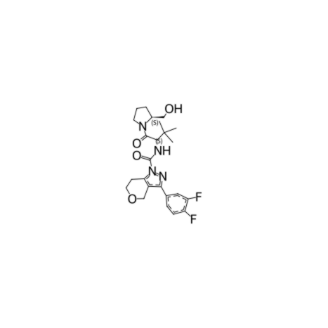 CC(C)(C)[C@H](NC(=O)n1nc(-c2ccc(F)c(F)c2)c2c1CCOC2)C(=O)N1CCC[C@H]1CO